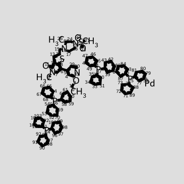 CCOc1cc(-c2cn(C)c(=O)c3cc(CN4CCN(S(C)(=O)=O)C[C@H]4C)sc23)ccn1.[Pd].c1ccc(P(c2ccccc2)c2ccccc2)cc1.c1ccc(P(c2ccccc2)c2ccccc2)cc1.c1ccc(P(c2ccccc2)c2ccccc2)cc1.c1ccc(P(c2ccccc2)c2ccccc2)cc1